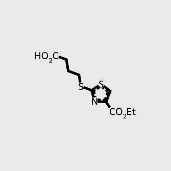 CCOC(=O)c1csc(SCCCC(=O)O)n1